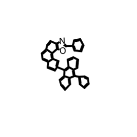 c1ccc(-c2nc3ccc4ccc5ccc(-c6c7ccccc7c(-c7ccccc7)c7ccccc67)cc5c4c3o2)cc1